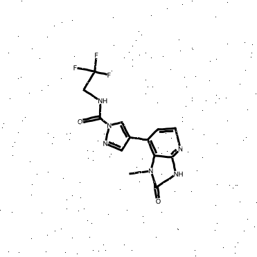 Cn1c(=O)[nH]c2nccc(-c3cnn(C(=O)NCC(F)(F)F)c3)c21